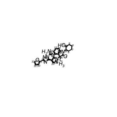 C[C@](C(=O)N[C@@H]1CCCC[C@@H]1O)(c1ccccc1)n1ncc2c1nc(N)n1nc(-c3ccco3)nc21